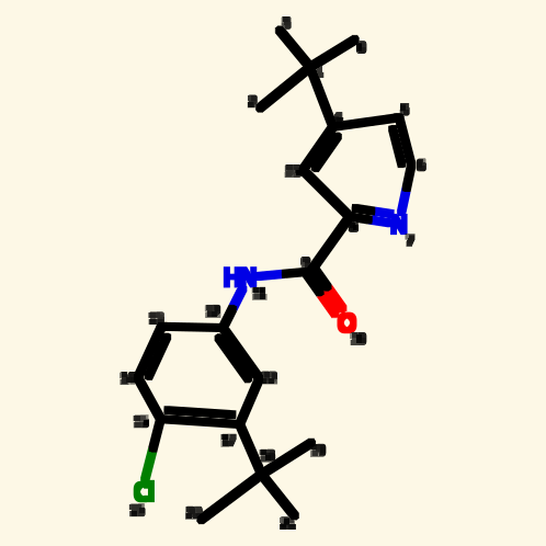 CC(C)(C)c1ccnc(C(=O)Nc2ccc(Cl)c(C(C)(C)C)c2)c1